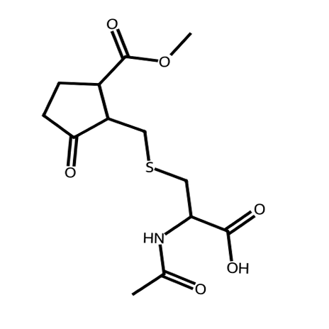 COC(=O)C1CCC(=O)C1CSCC(NC(C)=O)C(=O)O